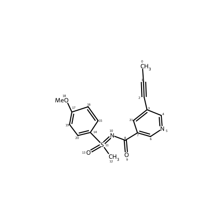 CC#Cc1cncc(C(=O)N=S(C)(=O)c2ccc(OC)cc2)c1